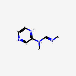 CN=CN(C)c1cnccn1